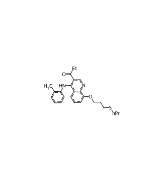 CCCSCCCOc1cccc2c(Nc3ccccc3C)c(C(=O)CC)cnc12